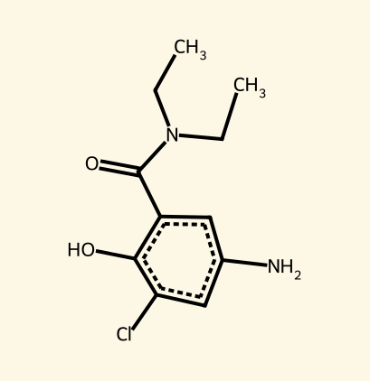 CCN(CC)C(=O)c1cc(N)cc(Cl)c1O